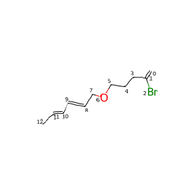 C=C(Br)CCCOCC=CC=CC